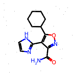 NC(=O)c1noc(C2CCCCC2)c1-c1ncc[nH]1